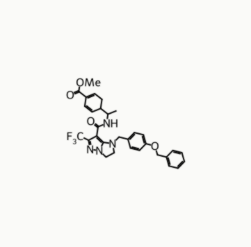 COC(=O)C1=CCC(C(C)NC(=O)c2c(C(F)(F)F)nn3c2N(Cc2ccc(OCc4ccccc4)cc2)CC3)C=C1